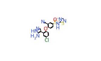 N#Cc1cc([S+]([O-])Nc2ncns2)ccc1Oc1ccc(Cl)cc1-c1cn[nH]c1N